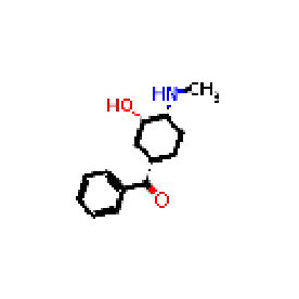 CN[C@@H]1CC[C@H](C(=O)c2ccccc2)C[C@@H]1O